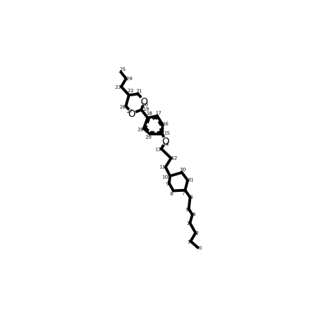 CCCCCCCC1CCC(CCCOc2ccc(C3OCC(CCC)CO3)cc2)CC1